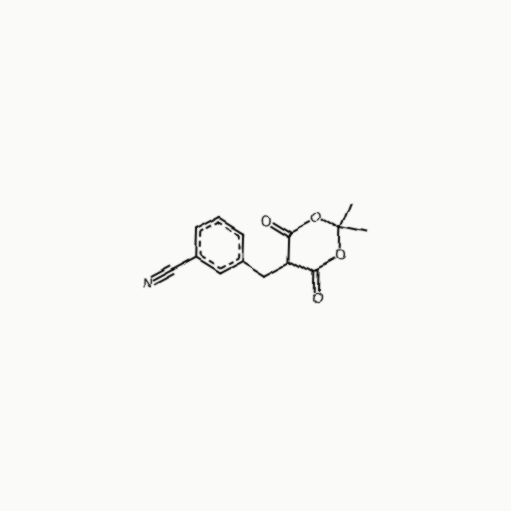 CC1(C)OC(=O)C(Cc2cccc(C#N)c2)C(=O)O1